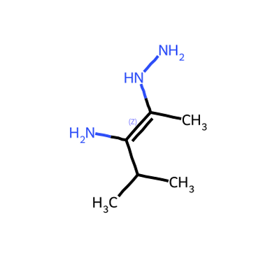 C/C(NN)=C(/N)C(C)C